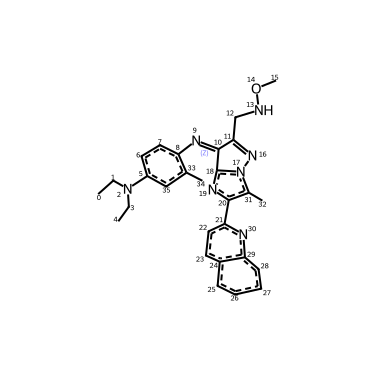 CCN(CC)c1ccc(/N=C2/C(CNOC)=Nn3c2nc(-c2ccc4ccccc4n2)c3C)c(C)c1